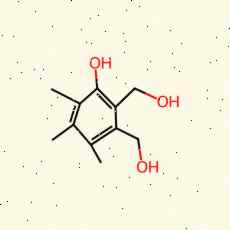 Cc1c(C)c(O)c(CO)c(CO)c1C